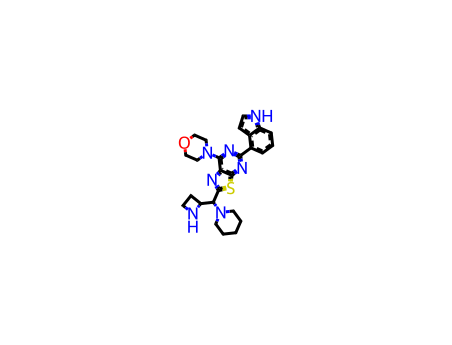 c1cc(-c2nc(N3CCOCC3)c3nc(C(C4CCN4)N4CCCCC4)sc3n2)c2cc[nH]c2c1